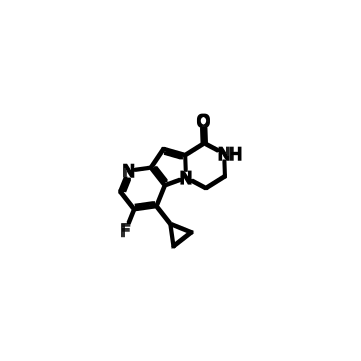 O=C1NCCn2c1cc1ncc(F)c(C3CC3)c12